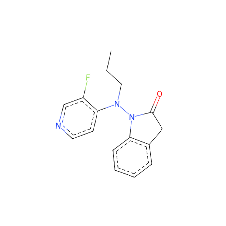 CCCN(c1ccncc1F)N1C(=O)Cc2ccccc21